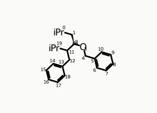 CC(C)C[C@@H](OCc1ccccc1)C(Cc1ccccc1)C(C)C